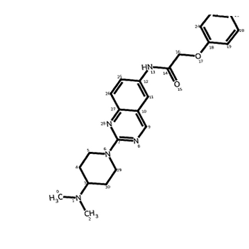 CN(C)C1CCN(c2ncc3cc(NC(=O)COc4ccc(Cl)cc4)ccc3n2)CC1